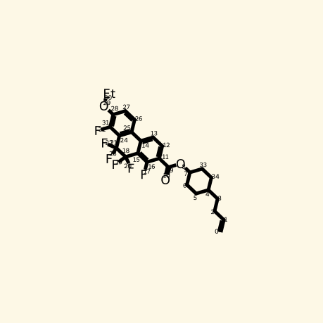 C=CCCC1CCC(OC(=O)c2ccc3c(c2F)C(F)(F)C(F)(F)c2c-3ccc(OCC)c2F)CC1